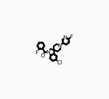 O=C(c1ccccc1F)N1CC2(CCN(c3ccc(F)nc3)CC2)c2cc(Cl)ccc21